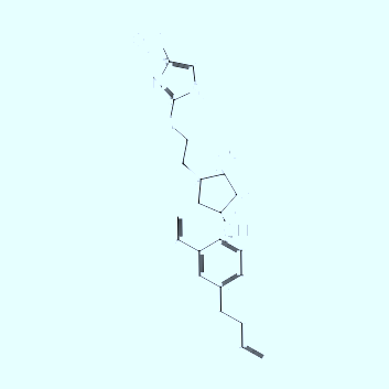 C=CCCc1cccc(/C=C\[C@@H]2[C@@H](CCSc3nc(C(=O)O)cs3)[C@H](Cl)C[C@H]2O)c1